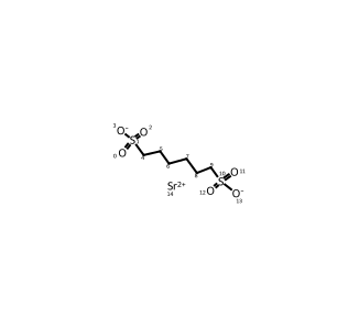 O=S(=O)([O-])CCCCCCS(=O)(=O)[O-].[Sr+2]